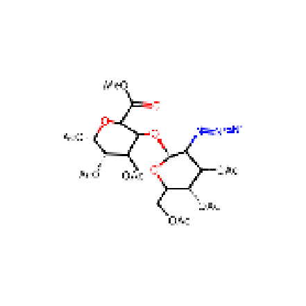 COC(=O)C1O[C@@H](OC(C)=O)[C@@H](OC(C)=O)C(OC(C)=O)[C@@H]1O[C@@H]1OC(COC(C)=O)[C@@H](OC(C)=O)C(OC(C)=O)C1N=[N+]=[N-]